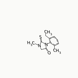 CCc1cccc(C)c1N1C(=O)CN(C)C1=S